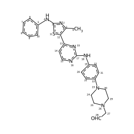 Cc1nc(Nc2ccccc2)sc1-c1ccnc(Nc2ccc(N3CCN(CC=O)CC3)cc2)n1